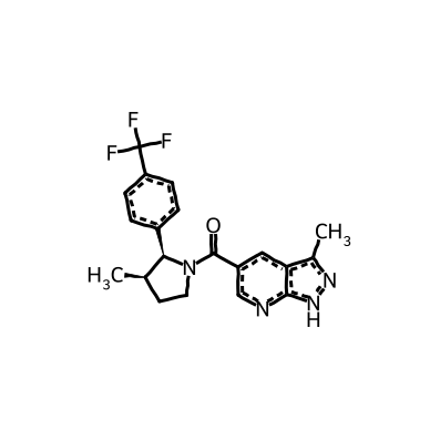 Cc1n[nH]c2ncc(C(=O)N3CC[C@@H](C)[C@H]3c3ccc(C(F)(F)F)cc3)cc12